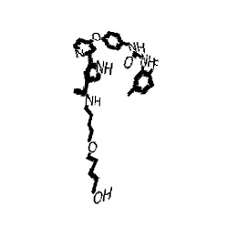 C=C(NCCCCCOCCCCCO)c1c[nH]c(-c2cc(Oc3ccc(NC(=O)Nc4cc(C)ccc4F)cc3)ccn2)c1